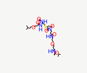 C=C(NCCCOCCCNC(=O)CCN1C(=O)CC(SCC(NC=O)NC(=O)CCOCCC(C)C)C1=O)OC(C)C